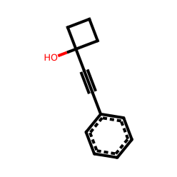 OC1(C#Cc2ccccc2)CCC1